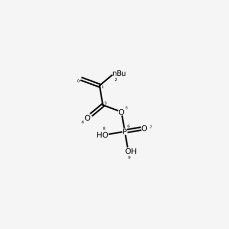 C=C(CCCC)C(=O)OP(=O)(O)O